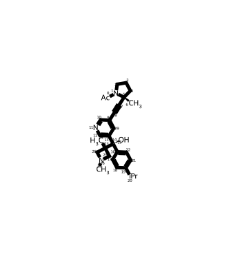 CC(=O)N1CCC[C@]1(C)C#Cc1cncc([C@@](O)(c2ccc(C(C)C)cc2)C2(C)CN(C)C2)c1